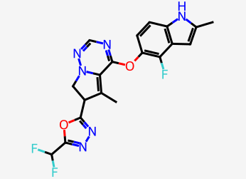 CC1=C2C(Oc3ccc4[nH]c(C)cc4c3F)=NC=NN2CC1c1nnc(C(F)F)o1